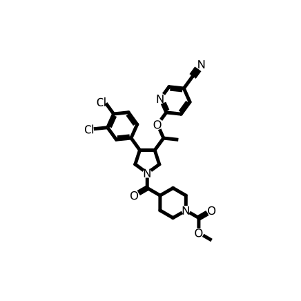 COC(=O)N1CCC(C(=O)N2CC(c3ccc(Cl)c(Cl)c3)C(C(C)Oc3ccc(C#N)cn3)C2)CC1